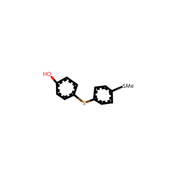 CSc1ccc(Sc2ccc(O)cc2)cc1